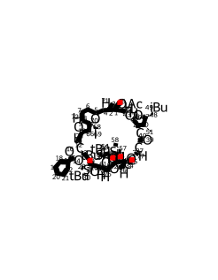 C=C1[C@H](C)CC2CC[C@@H]3O[C@@H](CCC(OC(=O)c4ccccc4)/C=C/[C@H](O[Si](C)(C)C(C)(C)C)[C@@H]4O[C@H]5CC[C@H](CC(=O)CC6[C@H](C[C@H]1OC(C)=O)O[C@H](C[C@H](C)CC)[C@@H]6C)O[C@@H]5[C@H](O[Si](C)(C)C(C)(C)C)[C@@H]4O[Si](C)(C)C(C)(C)C)C[C@]3(CI)O2